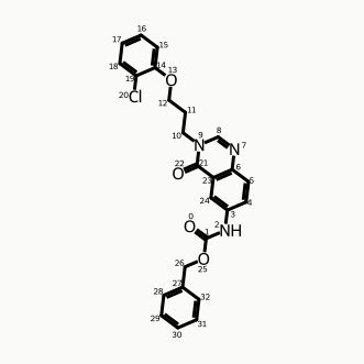 O=C(Nc1ccc2ncn(CCCOc3ccccc3Cl)c(=O)c2c1)OCc1ccccc1